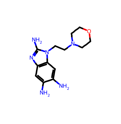 Nc1cc2nc(N)n(CCN3CCOCC3)c2cc1N